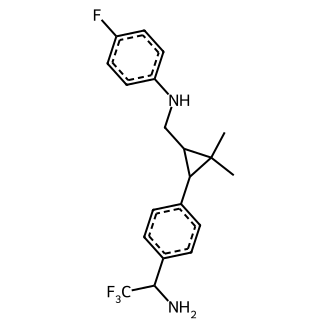 CC1(C)C(CNc2ccc(F)cc2)C1c1ccc(C(N)C(F)(F)F)cc1